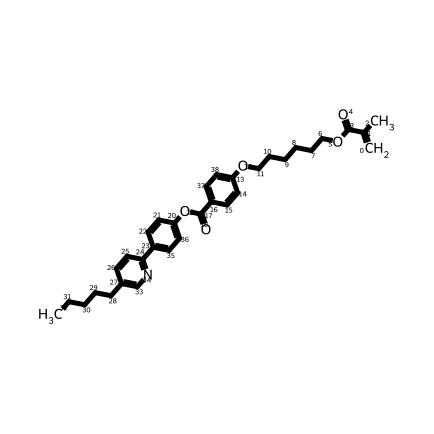 C=C(C)C(=O)OCCCCCCOc1ccc(C(=O)Oc2ccc(-c3ccc(CCCCC)cn3)cc2)cc1